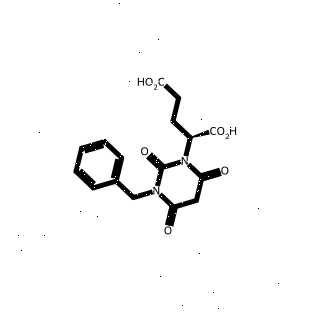 O=C(O)CC[C@@H](C(=O)O)N1C(=O)CC(=O)N(Cc2ccccc2)C1=O